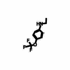 CCNc1[c]cc(OC(F)(F)F)cc1